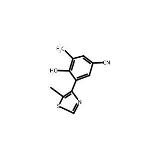 Cc1scnc1-c1cc(C#N)cc(C(F)(F)F)c1O